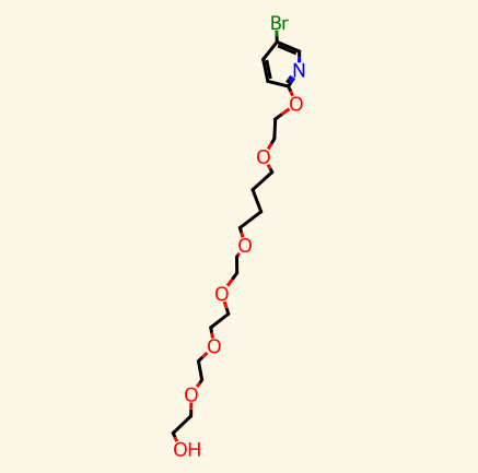 OCCOCCOCCOCCOCCCCOCCOc1ccc(Br)cn1